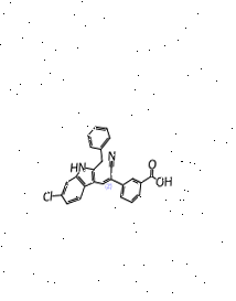 N#C/C(=C\c1c(Cc2ccccc2)[nH]c2cc(Cl)ccc12)c1cccc(C(=O)O)c1